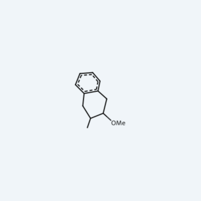 COC1Cc2ccccc2CC1C